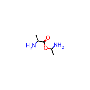 CC(N)OC(=O)[C@H](C)N